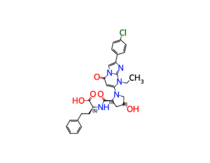 CCn1c(N2C[C@H](O)C[C@H]2C(=O)N[C@@H](CCc2ccccc2)C(=O)O)cc(=O)n2cc(-c3ccc(Cl)cc3)nc12